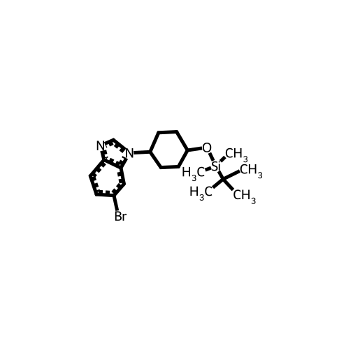 CC(C)(C)[Si](C)(C)OC1CCC(n2cnc3ccc(Br)cc32)CC1